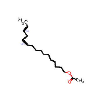 C/C=C/C/C=C\CCCCCCCCCCOC(C)=O